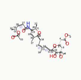 COC(=O)C[C@@H]1C[C@@]2(CO2)[C@H](O)[C@@H](/C=C/C(C)=C\C[C@@H]2O[C@H](C)[C@H](NC(=O)/C=C\[C@H](C)OC(C)=O)C=C2C)O1